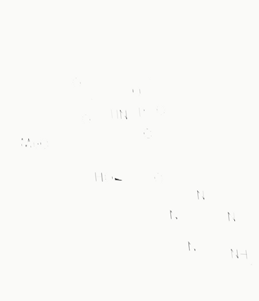 COCCOC(=O)[C@H](C)N[P@](=O)(OC[C@@H]1O[C@H](n2cnc3c(N)ncnc32)C[C@H]1O)Oc1ccccc1